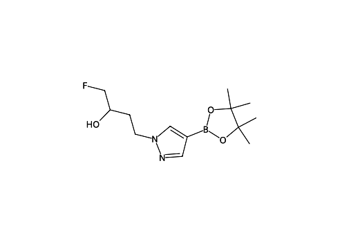 CC1(C)OB(c2cnn(CCC(O)CF)c2)OC1(C)C